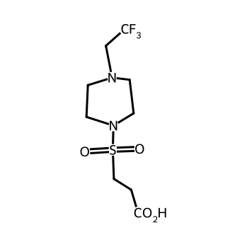 O=C(O)CCS(=O)(=O)N1CCN(CC(F)(F)F)CC1